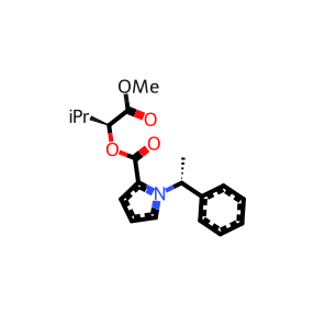 COC(=O)[C@@H](OC(=O)c1cccn1[C@H](C)c1ccccc1)C(C)C